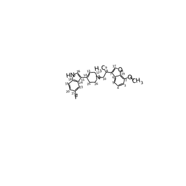 COc1cccc2c(C(C)CN3CC=C(c4c[nH]c5ccc(F)cc45)CC3)coc12